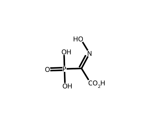 O=C(O)C(=NO)P(=O)(O)O